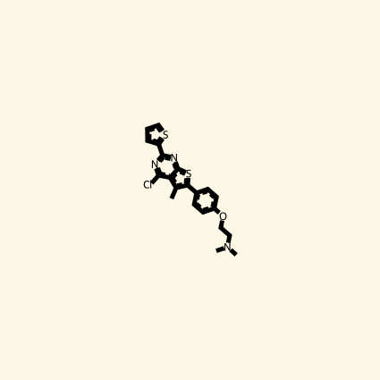 Cc1c(-c2ccc(OCCN(C)C)cc2)sc2nc(-c3cccs3)nc(Cl)c12